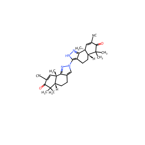 [C-]#[N+]C1=C[C@]2(C)c3nn(-c4[nH]nc5c4CC[C@H]4C(C)(C)C(=O)C([N+]#[C-])=C[C@]54C)cc3CC[C@@H]2C(C)(C)C1=O